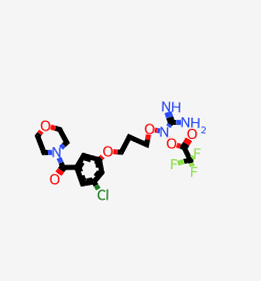 N=C(N)N(OCCCOc1cc(Cl)cc(C(=O)N2CCOCC2)c1)OC(=O)C(F)(F)F